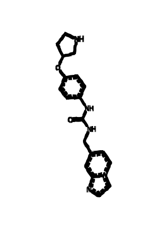 O=C(NCc1ccn2ccnc2c1)Nc1ccc(OC2CCNC2)cc1